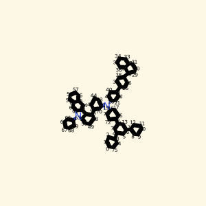 c1ccc(-c2cc(-c3ccccc3)cc(-c3ccc(N(c4ccc(-c5ccc(-c6cccc7ccccc67)cc5)cc4)c4cccc(-c5cccc6c5c5cc7ccccc7cc5n6-c5ccccc5)c4)cc3)c2)cc1